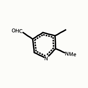 CNc1ncc(C=O)cc1C